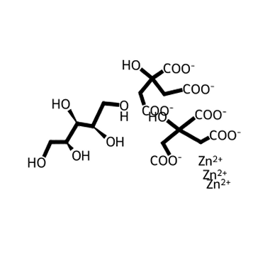 O=C([O-])CC(O)(CC(=O)[O-])C(=O)[O-].O=C([O-])CC(O)(CC(=O)[O-])C(=O)[O-].OC[C@@H](O)[C@H](O)[C@@H](O)CO.[Zn+2].[Zn+2].[Zn+2]